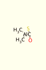 O=C=S.[CH3][Al][CH3]